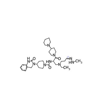 CCN(CC/C=N\NC)CC(NC(=O)N1CCC(N2Cc3ccccc3NC2=O)CC1)C(=O)N1CCC(N2CCCCC2)CC1